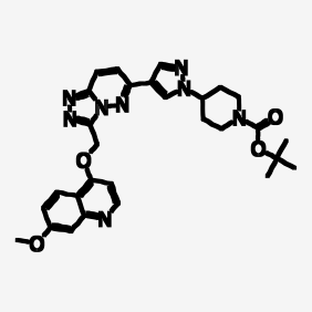 COc1ccc2c(OCc3nnc4ccc(-c5cnn(C6CCN(C(=O)OC(C)(C)C)CC6)c5)nn34)ccnc2c1